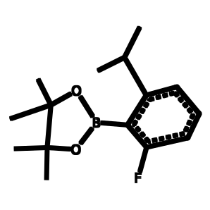 CC(C)c1cccc(F)c1B1OC(C)(C)C(C)(C)O1